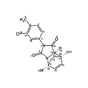 Cc1ccc(N2C(=O)C3[C@@H]4C=C[C@@H](CC4)[C@@H]3C2=O)cc1Cl